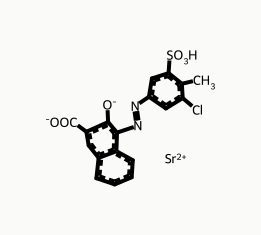 Cc1c(Cl)cc(N=Nc2c([O-])c(C(=O)[O-])cc3ccccc23)cc1S(=O)(=O)O.[Sr+2]